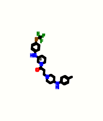 Cc1ccc(NC2CCN(CCC(=O)N3CCC[C@H](Nc4ccc(SC(F)(F)F)cc4)C3)CC2)cc1